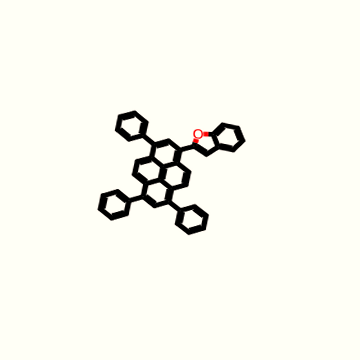 c1ccc(-c2cc(-c3ccccc3)c3ccc4c(-c5cc6ccccc6o5)cc(-c5ccccc5)c5ccc2c3c54)cc1